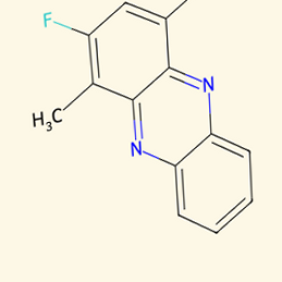 Cc1cc(F)c(C)c2nc3ccccc3nc12